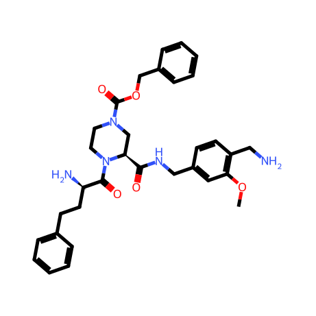 COc1cc(CNC(=O)[C@@H]2CN(C(=O)OCc3ccccc3)CCN2C(=O)[C@H](N)CCc2ccccc2)ccc1CN